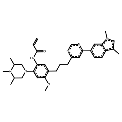 C=CC(=O)Nc1cc(CCCc2cc(-c3ccc4c(C)nn(C)c4c3)ncn2)c(OC)cc1N1CC(C)N(C)C(C)C1